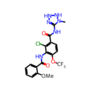 COc1ccccc1C(=O)Nc1c(OC(F)(F)F)ccc(C(=O)NC2=NNNN2C)c1Cl